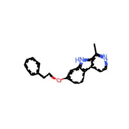 Cc1nccc2c1[nH]c1cc(OCCc3ccccc3)ccc12